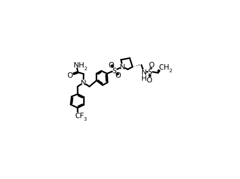 C=CS(=O)(=O)NC[C@H]1CCN(S(=O)(=O)c2ccc(CN(CC(N)=O)Cc3ccc(C(F)(F)F)cc3)cc2)C1